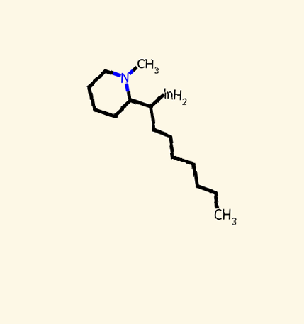 CCCCCCC[CH]([InH2])C1CCCCN1C